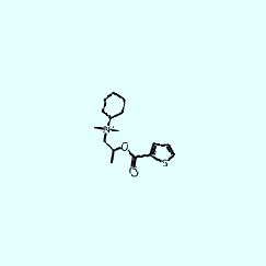 CC(C[N+](C)(C)C1CCCCC1)OC(=O)c1cccs1